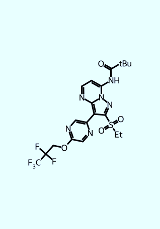 CCS(=O)(=O)c1nn2c(NC(=O)C(C)(C)C)ccnc2c1-c1cnc(OCC(F)(F)C(F)(F)F)cn1